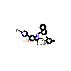 CCOC(=O)c1c(CSc2ccc(C)cc2C)n(Cc2cccc3ccccc23)c2cc(C3=CCN(C(C)C)CC3)c(O)cc12